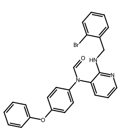 O=CN(c1ccc(Oc2ccccc2)cc1)c1cccnc1NCc1ccccc1Br